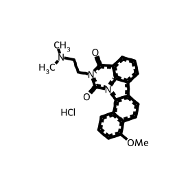 COc1cccc2c1ccc1c3cccc4c(=O)n(CCN(C)C)c(=O)n(c43)c21.Cl